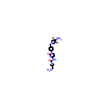 NCC1CN(C(=O)Nc2ccn(-c3ccc(CN4C[C@@H]5[C@@H](N)[C@@H]5C4)cc3)c(=O)n2)C1